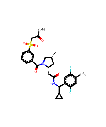 COC(=O)CS(=O)(=O)c1cccc(C(=O)N2C[C@H](C)C[C@@H]2CC(=O)N[C@@H](c2cc(F)c(C(F)(F)F)cc2F)C2CC2)c1